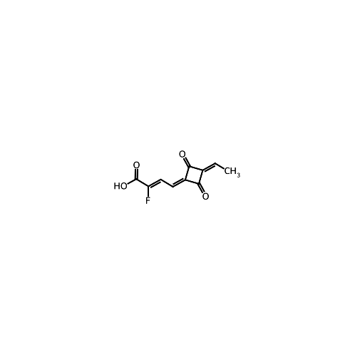 CC=c1c(=O)c(=CC=C(F)C(=O)O)c1=O